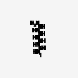 NNNNNNNNNI